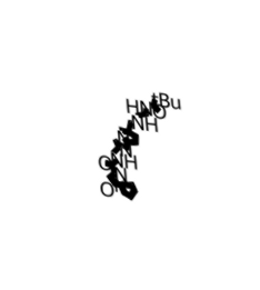 CC(C)(C)C(=O)NCCNCc1ccc2nc(CNC(=O)c3cc(=O)n4ccccc4n3)cn2c1